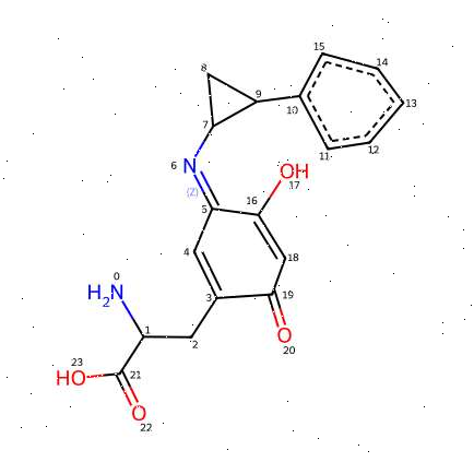 NC(CC1=C/C(=N/C2CC2c2ccccc2)C(O)=CC1=O)C(=O)O